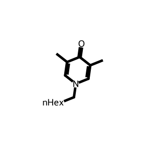 CCCCCCCn1cc(C)c(=O)c(C)c1